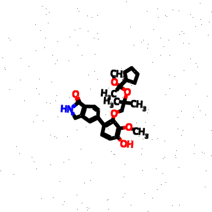 COc1c(O)ccc(-c2ccc3c(c2)CNC3=O)c1OCC(C)(C)OC(C)(OC)C1CCCC1